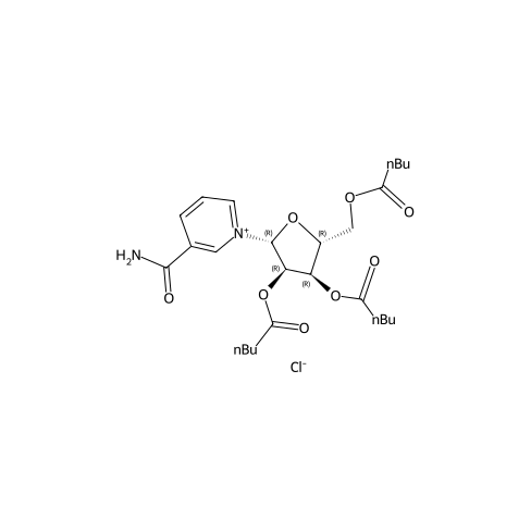 CCCCC(=O)OC[C@H]1O[C@@H]([n+]2cccc(C(N)=O)c2)[C@H](OC(=O)CCCC)[C@@H]1OC(=O)CCCC.[Cl-]